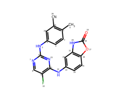 Cc1ccc(Nc2ncc(F)c(Nc3ccc4oc(=O)[nH]c4c3)n2)cc1C#N